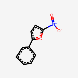 O=[N+]([O-])c1ccc(-c2ccccc2)o1